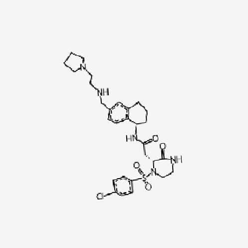 O=C(C[C@@H]1C(=O)NCCN1S(=O)(=O)c1ccc(Cl)cc1)N[C@@H]1CCCc2cc(CNCCN3CCCC3)ccc21